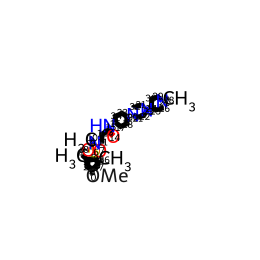 COc1cc(C)c(S(=O)(=O)N(C)CCC(=O)NC2CCC(N3CCN(C4CCN(C)CC4)CC3)CC2)c(C)c1